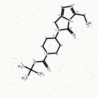 CC(C)(C)OC(=O)N1CCC(N2Cc3cnc(CO)n3C2=O)CC1